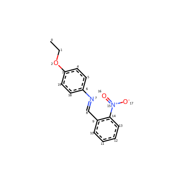 CCOc1ccc(N=Cc2ccccc2[N+](=O)[O-])cc1